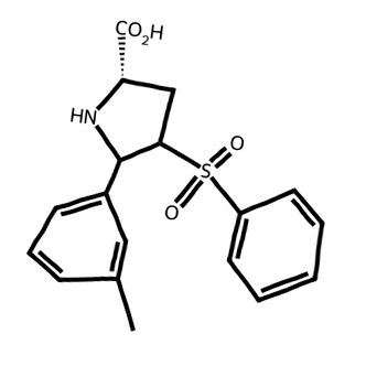 Cc1cccc(C2N[C@H](C(=O)O)CC2S(=O)(=O)c2ccccc2)c1